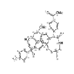 COC(=O)c1ccc(C2C(=O)NC[C@@H](F)CCC(=O)N2Cc2c(OC)cc(C)c3c2ccn3S(=O)(=O)c2ccc(C)cc2)cc1